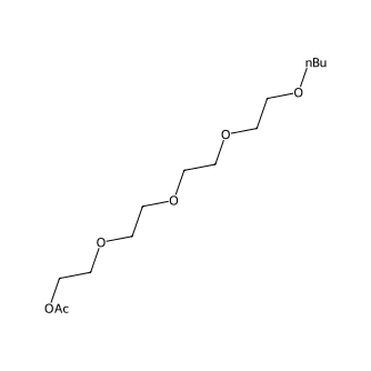 CCCCOCCOCCOCCOCCOC(C)=O